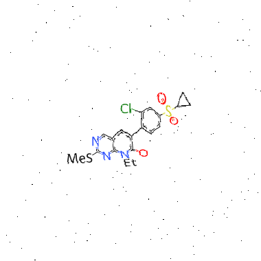 CCn1c(=O)c(-c2ccc(S(=O)(=O)C3CC3)cc2Cl)cc2cnc(SC)nc21